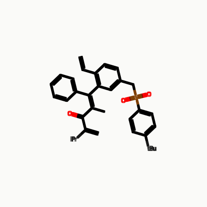 C=Cc1ccc(CS(=O)(=O)c2ccc(C(C)(C)C)cc2)cc1/C(=C(\C)C(=O)C(=C)C(C)C)c1ccccc1